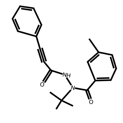 Cc1cccc(C(=O)N(NC(=O)C#Cc2ccccc2)C(C)(C)C)c1